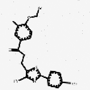 CCCCc1ccc(-c2nc(C(C)C)c(CCC(=O)c3ccc(OCC(C)=O)c(C)c3)s2)cc1